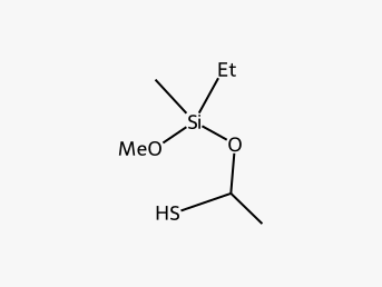 CC[Si](C)(OC)OC(C)S